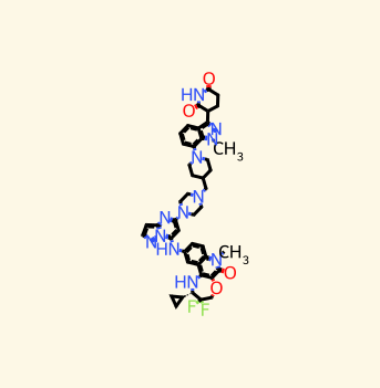 Cn1nc(C2CCC(=O)NC2=O)c2cccc(N3CCC(CN4CCN(c5cc(Nc6ccc7c(c6)c6c(c(=O)n7C)OCC(F)(F)[C@H](C7CC7)N6)n6nccc6n5)CC4)CC3)c21